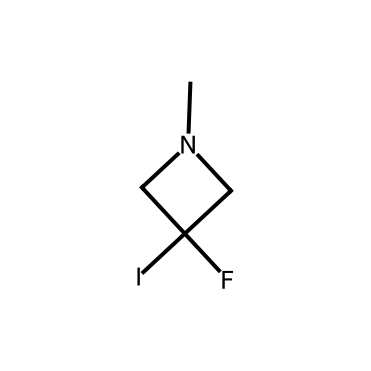 CN1CC(F)(I)C1